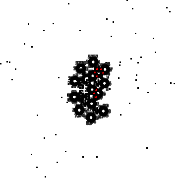 c1ccc(-c2cccc(-c3ccccc3)c2N2c3cc4c(cc3B3c5sc6ccccc6c5C(c5ccccc5)c5cc(N(c6ccccc6)c6ccccc6)cc2c53)B2c3sc5ccccc5c3N(c3ccccc3)c3cc(N(c5ccccc5)c5ccccc5)cc(c32)O4)cc1